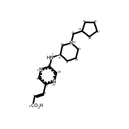 O=C(O)/C=C/c1cnc(N[C@@H]2CCCN(CC3CCCC3)C2)cn1